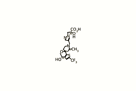 C[C@H]1C[C@@]2(CCN1Cc1cnn(C[C@@H](O)C(=O)O)c1)OC[C@@H](O)c1cc(C(F)(F)F)sc12